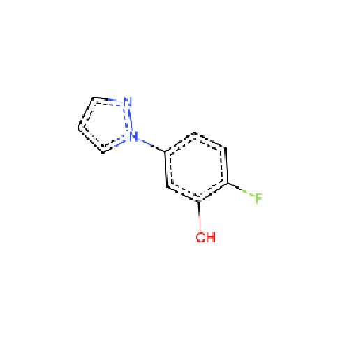 Oc1cc(-n2cccn2)ccc1F